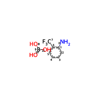 Nc1ccccc1C(F)(F)F.OB(O)O